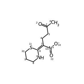 CC(=O)CC/C(=C1/NCCCS1)[N+](=O)[O-]